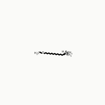 CCCOCCCCCCCCCCCCCC#C[Si](C)(C)C